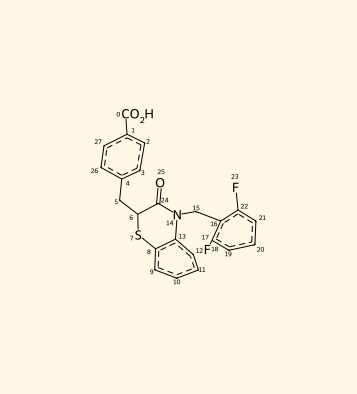 O=C(O)c1ccc(CC2Sc3ccccc3N(Cc3c(F)cccc3F)C2=O)cc1